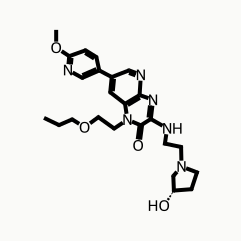 CCCOCCn1c(=O)c(NCCN2CC[C@H](O)C2)nc2ncc(-c3ccc(OC)nc3)cc21